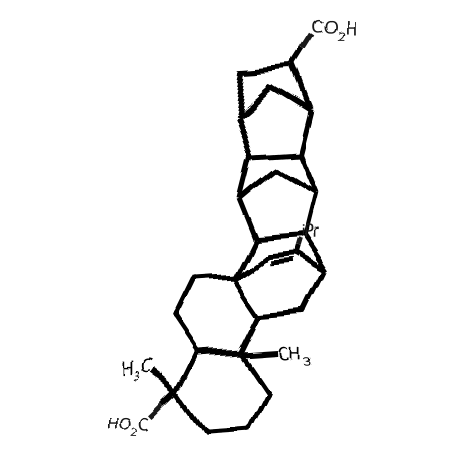 CC(C)C1=CC23CCC4C(C)(C(=O)O)CCCC4(C)C2CC1C1C2CC(C4C5CC(C(=O)O)C(C5)C24)C13